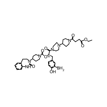 Bc1cc(C[C@@H](OC(=O)N2CCC(N3CCc4ccccc4NC3=O)CC2)C(=O)N2CCN(C3CCN(C(=O)CCC(=O)OCC)CC3)CC2)ccc1O